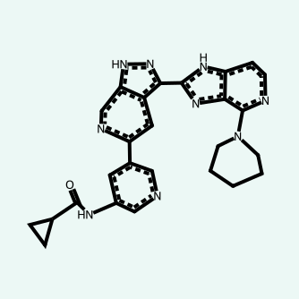 O=C(Nc1cncc(-c2cc3c(-c4nc5c(N6CCCCC6)nccc5[nH]4)n[nH]c3cn2)c1)C1CC1